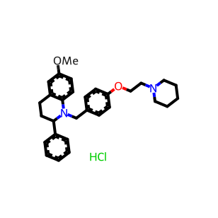 COc1ccc2c(c1)CCC(c1ccccc1)N2Cc1ccc(OCCN2CCCCC2)cc1.Cl